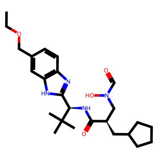 CCOCc1ccc2nc([C@@H](NC(=O)[C@H](CC3CCCC3)CN(O)C=O)C(C)(C)C)[nH]c2c1